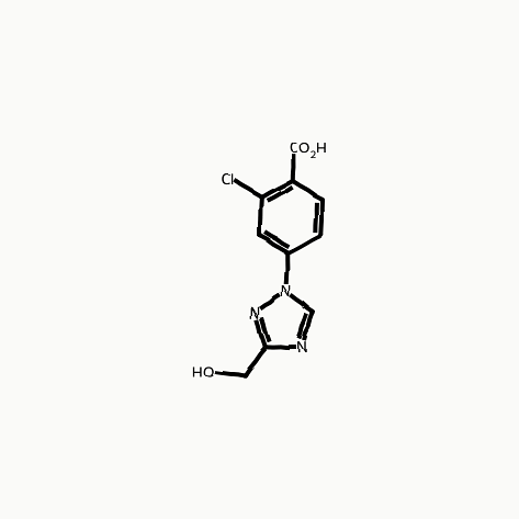 O=C(O)c1ccc(-n2cnc(CO)n2)cc1Cl